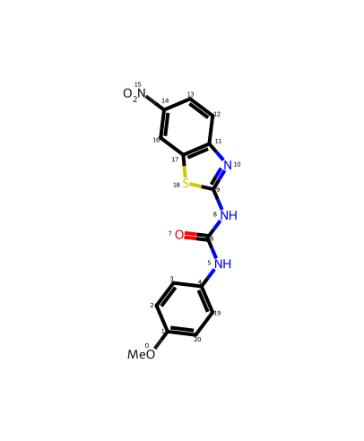 COc1ccc(NC(=O)Nc2nc3ccc([N+](=O)[O-])cc3s2)cc1